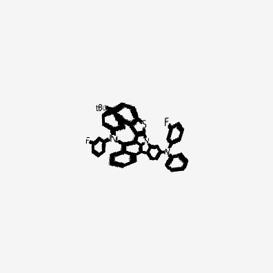 CC(C)(C)c1ccc2sc3c(c2c1)c1c(N(c2ccccc2)c2cccc(F)c2)c2ccccc2c2c4ccc(N(c5ccccc5)c5cccc(F)c5)cc4n3c12